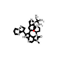 BC(B)(B)n1ncc2cc(-c3c(-c4cnn5cccnc45)[nH]c4ncc5c(c34)n(C3CCOCC3)c(=O)n5C)ccc21